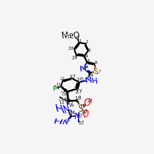 COc1ccc(-c2csc(Nc3ccc(F)c([C@]4(C)CS(=O)(=O)N(C)C(=N)N4)c3)n2)cc1